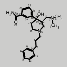 CN(C)C[C@H]1CN(CCCc2ccccc2)CC[C@]1(O)c1cccc(C(N)=O)c1